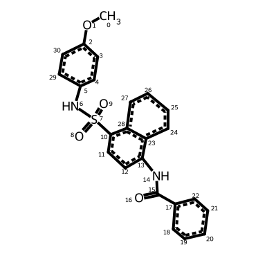 COc1ccc(NS(=O)(=O)c2ccc(NC(=O)c3ccccc3)c3ccccc23)cc1